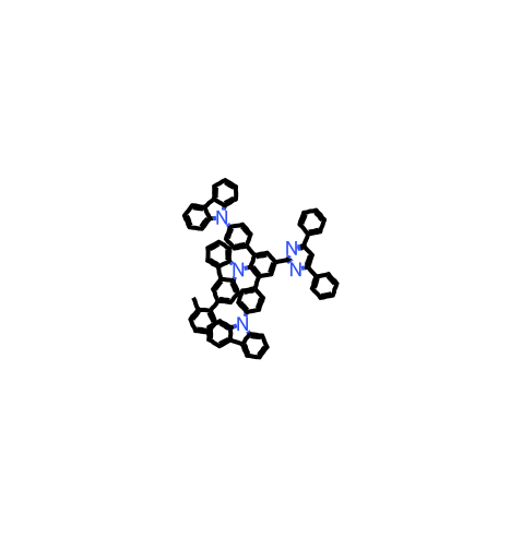 Cc1ccccc1-c1ccc2c(c1)c1ccccc1n2-c1c(-c2ccc(-n3c4ccccc4c4ccccc43)cc2)cc(-c2nc(-c3ccccc3)cc(-c3ccccc3)n2)cc1-c1ccc(-n2c3ccccc3c3ccccc32)cc1